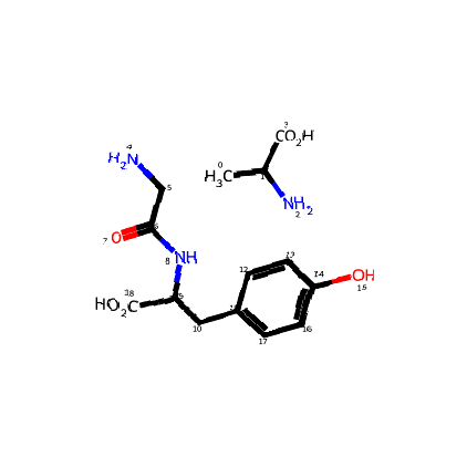 CC(N)C(=O)O.NCC(=O)NC(Cc1ccc(O)cc1)C(=O)O